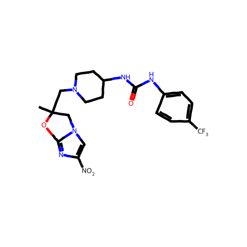 CC1(CN2CCC(NC(=O)Nc3ccc(C(F)(F)F)cc3)CC2)Cn2cc([N+](=O)[O-])nc2O1